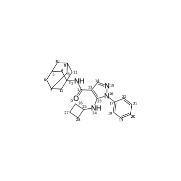 O=C(NC12CC3CC(CC(C3)C1)C2)c1cnn(-c2ccccc2)c1NC1CCC1